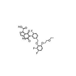 CCOCCOc1ccc(F)c(F)c1OCc1ccc(F)c(-n2c(=O)[nH]c3csc(C(=O)O)c3c2=O)c1